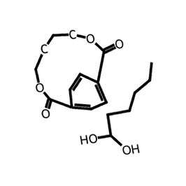 CCCCCC(O)O.O=C1OCCCCOC(=O)c2ccc1cc2